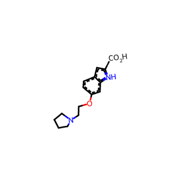 O=C(O)c1cc2ccc(OCCN3CCCC3)cc2[nH]1